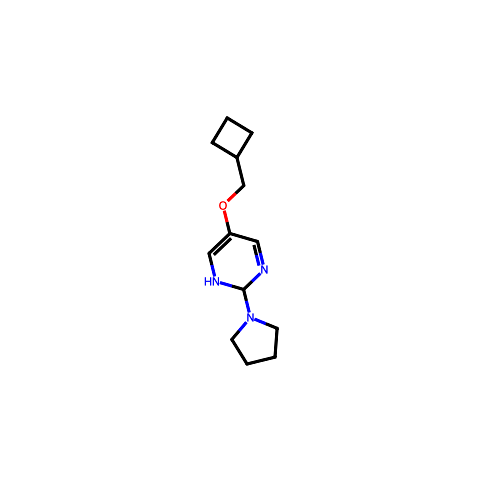 C1=NC(N2CCCC2)NC=C1OCC1CCC1